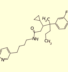 CCCC(C)(c1cccc(F)c1)C(CC(=O)NCCCCc1cccnc1)C1CC1